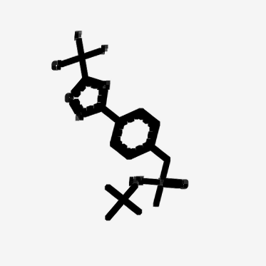 CC(C)(C)NP(C)(=O)Cc1ccc(-c2noc(C(F)(F)Cl)n2)cc1